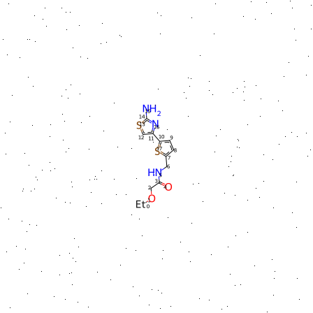 CCOCC(=O)NCc1ccc(-c2csc(N)n2)s1